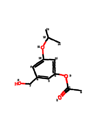 CC(=O)Oc1cc([CH]O)cc(OC(C)C)c1